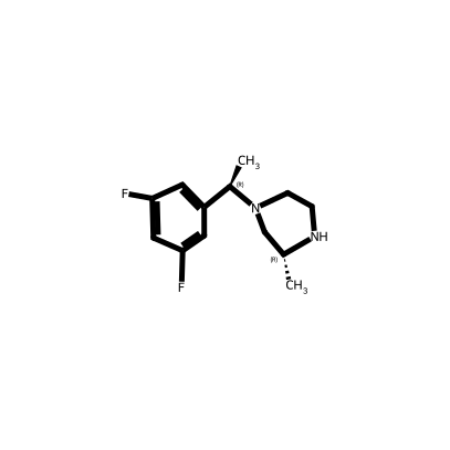 C[C@@H]1CN([C@H](C)c2cc(F)cc(F)c2)CCN1